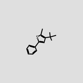 Cc1sc(-c2ccccc2)cc1C(C)(C)C